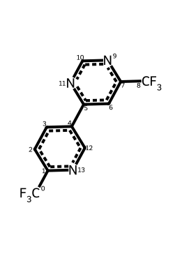 FC(F)(F)c1ccc(-c2cc(C(F)(F)F)ncn2)cn1